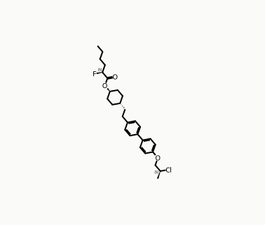 CCCC[C@H](F)C(=O)O[C@H]1CC[C@H](CCc2ccc(-c3ccc(OC[C@H](C)Cl)cc3)cc2)CC1